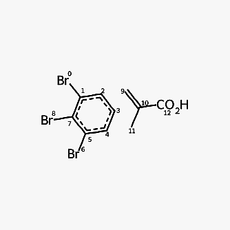 Brc1cccc(Br)c1Br.C=C(C)C(=O)O